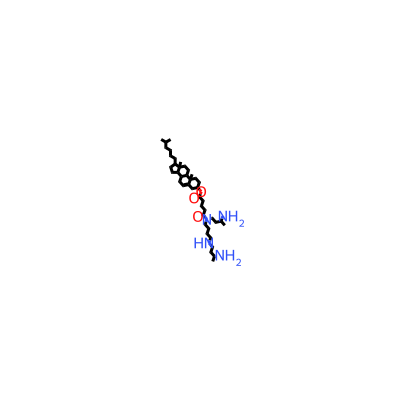 CC(C)CCCCC1CCC2C3CC=C4CC(OC(=O)CCCC(=O)N(CCCCNCCC(C)N)CCC(C)N)CCC4(C)C3CCC12C